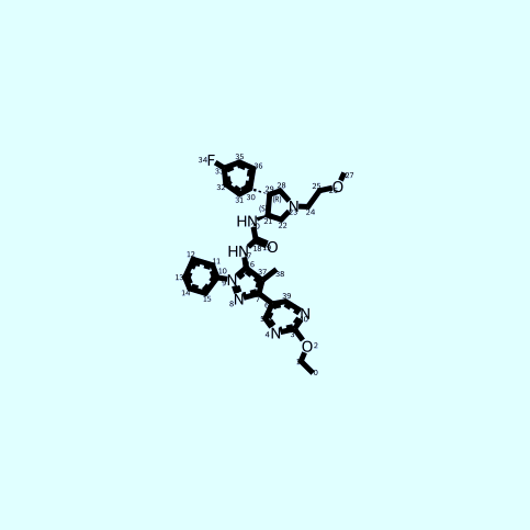 CCOc1ncc(-c2nn(-c3ccccc3)c(NC(=O)N[C@@H]3CN(CCOC)C[C@H]3c3ccc(F)cc3)c2C)cn1